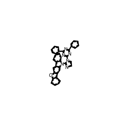 c1ccc(-c2nc(-c3ccccc3)nc(-n3ccnc3-n3c4ccccc4c4cc5oc6ccccc6c5cc43)n2)cc1